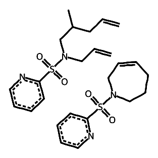 C=CCC(C)CN(CC=C)S(=O)(=O)c1ccccn1.O=S(=O)(c1ccccn1)N1CC=CCCC1